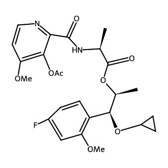 COc1cc(F)ccc1[C@H](OC1CC1)[C@H](C)OC(=O)[C@H](C)NC(=O)c1nccc(OC)c1OC(C)=O